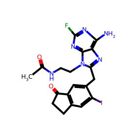 CC(=O)NCCn1c(Cc2cc3c(cc2I)CCC3=O)nc2c(N)nc(F)nc21